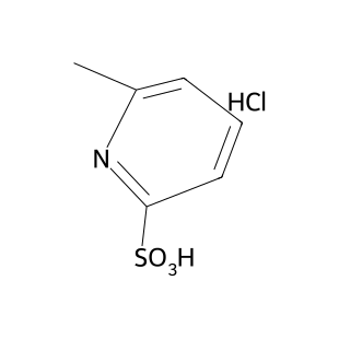 Cc1cccc(S(=O)(=O)O)n1.Cl